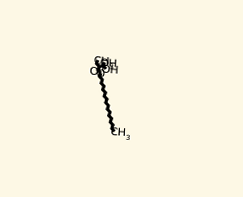 CCCCCCCCCCCCCCCCCCOC(=O)C(CC)C(O)O